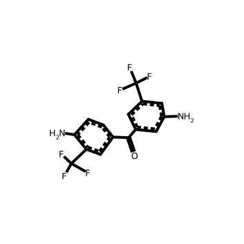 Nc1cc(C(=O)c2ccc(N)c(C(F)(F)F)c2)cc(C(F)(F)F)c1